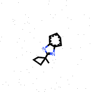 CC1(C2=Nc3ccccc3[N]2)CCC1